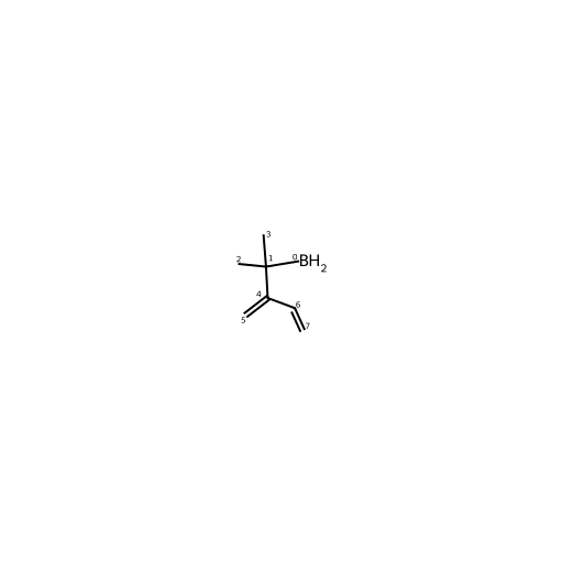 BC(C)(C)C(=C)C=C